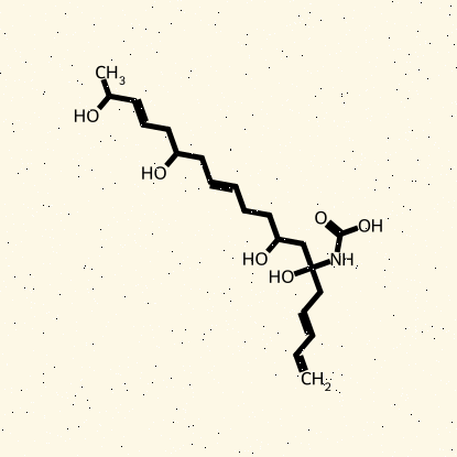 C=CC=CCC(O)(CC(O)CCC=CCC(O)CC=CC(C)O)NC(=O)O